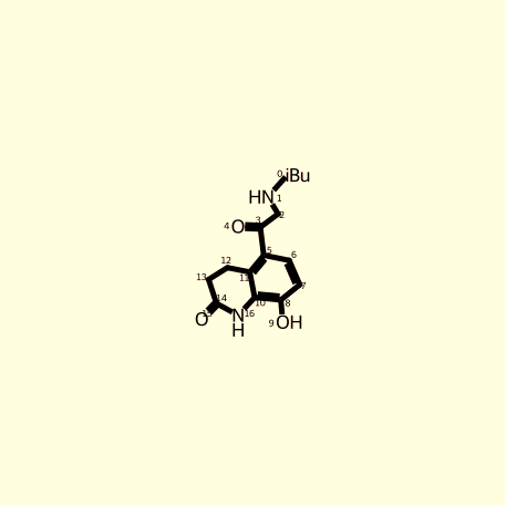 CCC(C)NCC(=O)c1ccc(O)c2c1CCC(=O)N2